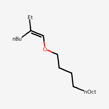 CCCCCCCCCCCCOC=C(CC)CCCC